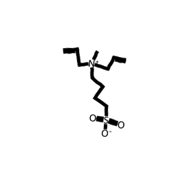 C=CC[N+](C)(CC=C)CCCCS(=O)(=O)[O-]